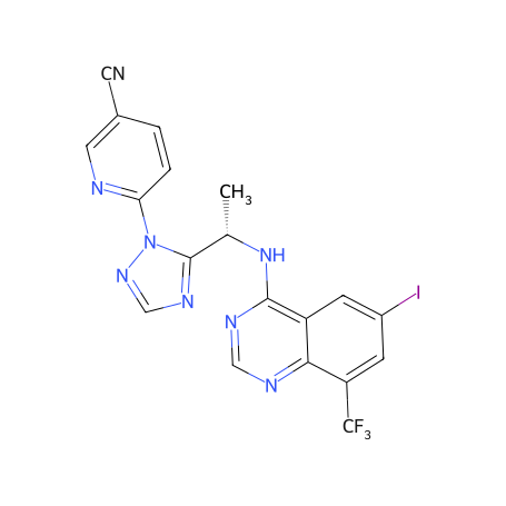 C[C@H](Nc1ncnc2c(C(F)(F)F)cc(I)cc12)c1ncnn1-c1ccc(C#N)cn1